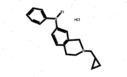 CCN(c1ccccc1)c1ccc2c(c1)CN(CC1CC1)CC2.Cl